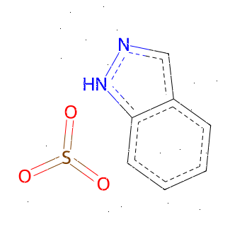 O=S(=O)=O.c1ccc2[nH]ncc2c1